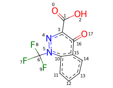 O=C(O)c1nn(C(F)(F)F)c2ccccc2c1=O